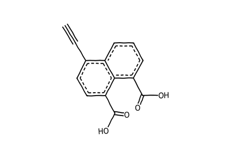 C#Cc1ccc(C(=O)O)c2c(C(=O)O)cccc12